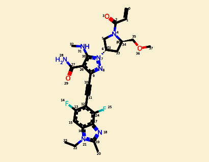 C=CC(=O)N1C[C@@H](n2nc(C#Cc3c(F)cc4c(nc(C)n4CC)c3F)c(C(N)=O)c2NC)C[C@@H]1COC